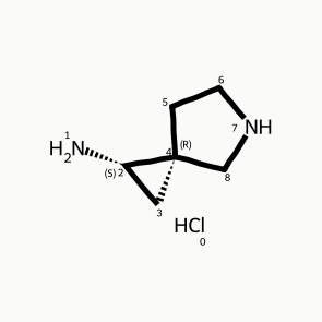 Cl.N[C@H]1C[C@@]12CCNC2